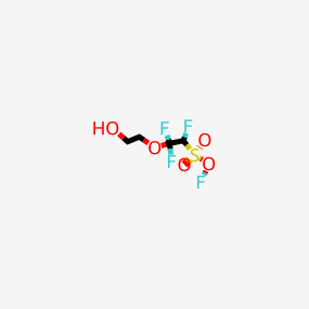 O=S(=O)(OF)C(F)C(F)(F)OCCO